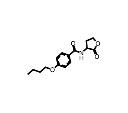 CCCCOc1ccc(C(=O)NC2CCOC2=O)cc1